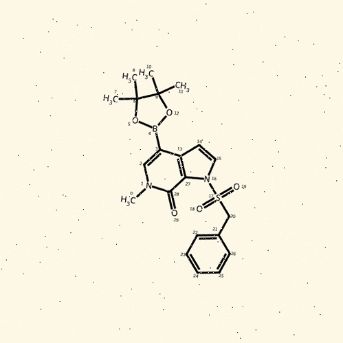 Cn1cc(B2OC(C)(C)C(C)(C)O2)c2ccn(S(=O)(=O)Cc3ccccc3)c2c1=O